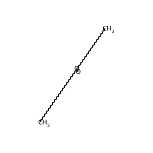 CCCCCCCCCCCCCCCCCCCCCCCCCCCCCCCCCCCCC(=O)OCCCCCCCCCCCCCCCCCCCCCCCCCCCC